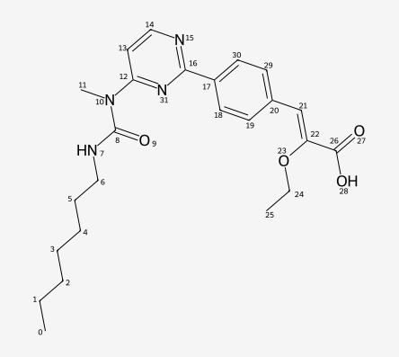 CCCCCCCNC(=O)N(C)c1ccnc(-c2ccc(C=C(OCC)C(=O)O)cc2)n1